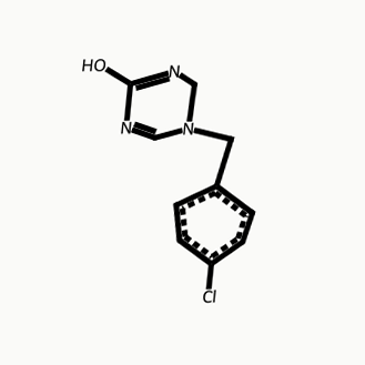 OC1=NCN(Cc2ccc(Cl)cc2)C=N1